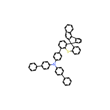 c1ccc(-c2ccc(N(c3ccc(-c4ccccc4)cc3)c3ccc(-c4cccc5c4Sc4ccccc4C54c5ccccc5-c5c4ccc4ccccc54)cc3)cc2)cc1